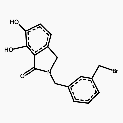 O=C1c2c(ccc(O)c2O)CN1Cc1cccc(CBr)c1